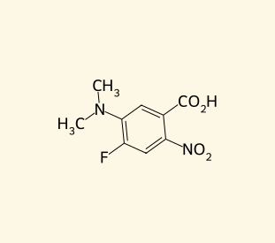 CN(C)c1cc(C(=O)O)c([N+](=O)[O-])cc1F